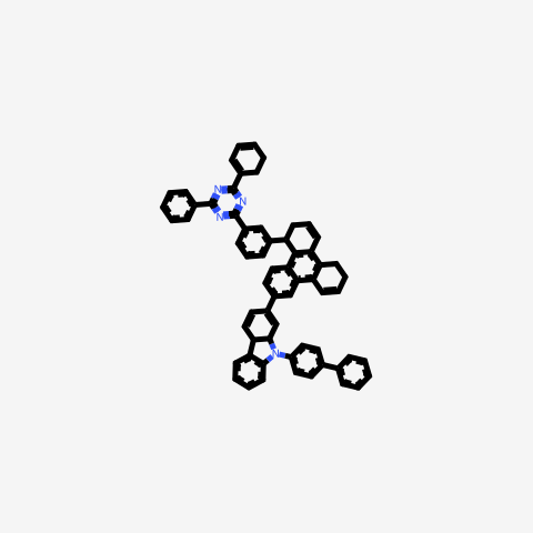 C1=CCCC(c2nc(-c3ccccc3)nc(-c3cccc(C4CC=Cc5c6c(c7cc(C8=CC9C(C=C8)c8ccccc8N9c8ccc(-c9ccccc9)cc8)ccc7c54)C=CCC6)c3)n2)=C1